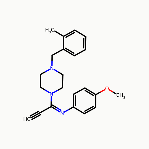 C#CC(=Nc1ccc(OC)cc1)N1CCN(Cc2ccccc2C)CC1